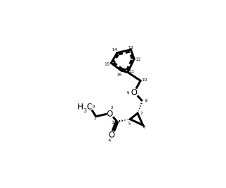 CCOC(=O)[C@H]1C[C@H]1COCc1ccccc1